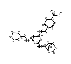 COC(=O)c1ccc(CNc2nc(NCC3CCCCC3)nc(NC3CC4CCC3C4)n2)cc1